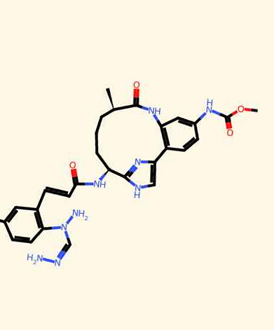 COC(=O)Nc1ccc2c(c1)NC(=O)[C@H](C)CCC[C@H](NC(=O)/C=C/c1cc(Cl)ccc1N(N)/C=N\N)c1nc-2c[nH]1